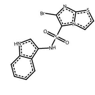 O=S(=O)(Nc1c[nH]c2ccccc12)c1c(Br)nc2sccn12